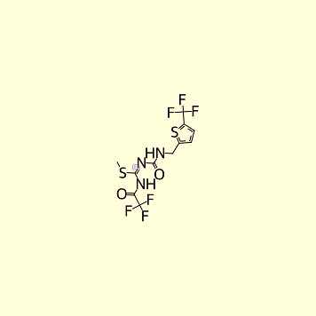 CS/C(=N/C(=O)NCc1ccc(C(F)(F)F)s1)NC(=O)C(F)(F)F